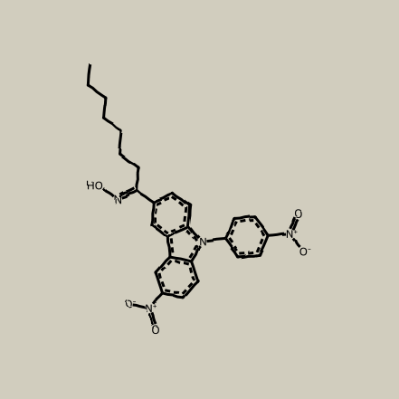 CCCCCCCC(=NO)c1ccc2c(c1)c1cc([N+](=O)[O-])ccc1n2-c1ccc([N+](=O)[O-])cc1